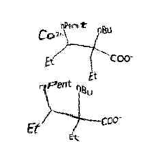 CCCCCC(CC)C(CC)(CCCC)C(=O)[O-].CCCCCC(CC)C(CC)(CCCC)C(=O)[O-].[Co+2]